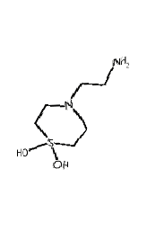 NCCN1CCS(O)(O)CC1